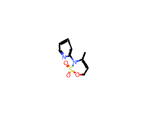 CC1=CCOS(=O)(=O)N1c1ccccn1